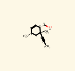 CC#C[C@]1(C)C[C@H](C)C=C[C@@H]1CO